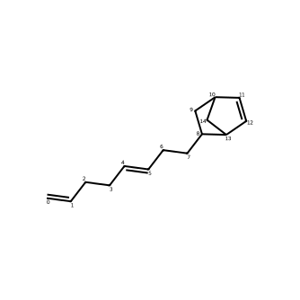 C=CCCC=CCCC1CC2C=CC1C2